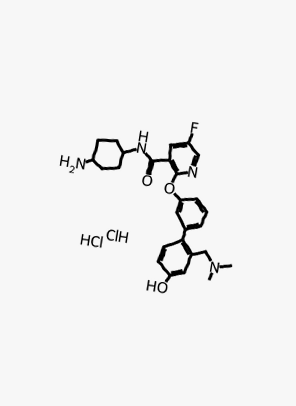 CN(C)Cc1cc(O)ccc1-c1cccc(Oc2ncc(F)cc2C(=O)NC2CCC(N)CC2)c1.Cl.Cl